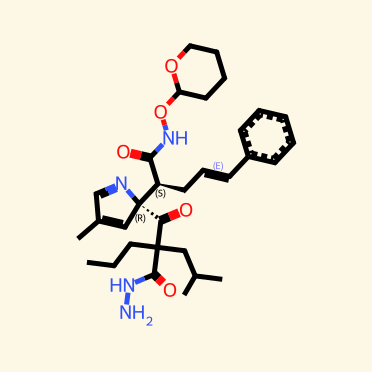 CCCC(CC(C)C)(C(=O)NN)C(=O)[C@]1([C@H](C/C=C/c2ccccc2)C(=O)NOC2CCCCO2)C=C(C)C=N1